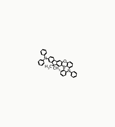 CC1(C)c2cc(N(c3ccccc3)c3ccccc3)ccc2-c2cc3c(cc21)B1c2ccccc2N(c2ccccc2)c2cccc(c21)O3